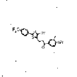 CCCc1ccc(C(=O)CCc2sc(-c3ccc(C(F)(F)F)cc3)nc2C(C)C)cc1C